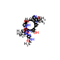 C=CC(=O)Nc1ccc(C(=O)N(C)[C@H](C(=O)N[C@H]2Cc3cc(O)cc(c3)-c3ccc4c(c3)c(c(-c3cccnc3[C@H](C)OC)n4CC)CC(C)(C)COC(=O)[C@@H]3CCCN(N3)C2=O)C(C)C)nc1